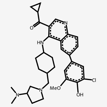 COc1cc(-c2ccc3ncc(C(=O)C4CC4)c(NC4CCC(CN5CCC(N(C)C)C5)CC4)c3c2)cc(Cl)c1O